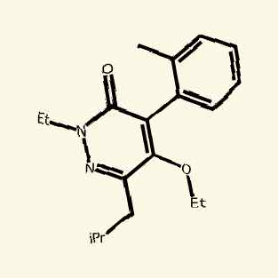 CCOc1c(CC(C)C)nn(CC)c(=O)c1-c1ccccc1C